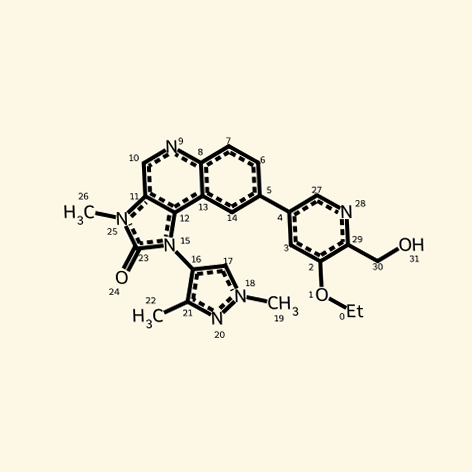 CCOc1cc(-c2ccc3ncc4c(c3c2)n(-c2cn(C)nc2C)c(=O)n4C)cnc1CO